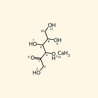 O=C(CO)C(O)C(O)C(O)CO.[CaH2]